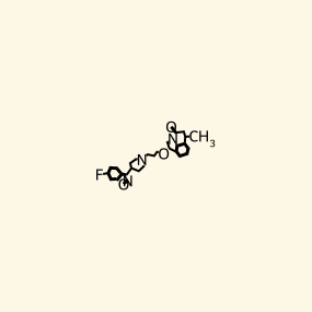 CC1CC(=O)N2CC(OCCCN3CCC(c4noc5cc(F)ccc45)CC3)c3cccc1c32